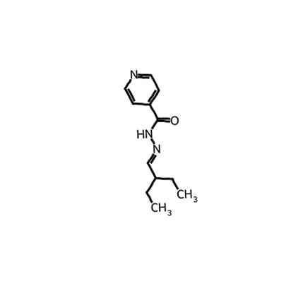 CCC(/C=N/NC(=O)c1ccncc1)CC